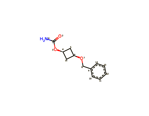 NC(=O)O[C@H]1C[C@@H](OCc2ccccc2)C1